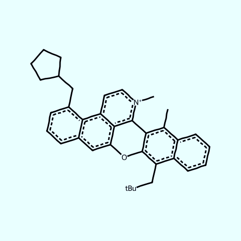 Cc1c2c(c(CC(C)(C)C)c3ccccc13)Oc1cc3cccc(CC4CCCC4)c3c3cc[n+](C)c-2c13